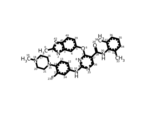 Cc1nc2cc(Oc3nc(Nc4ccc(N5CCN(C)CC5)c(F)c4)ncc3C(=O)Nc3c(C)cccc3C)ccc2s1